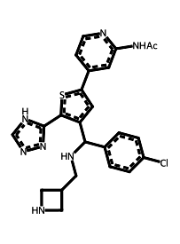 CC(=O)Nc1cc(-c2cc(C(NCC3CNC3)c3ccc(Cl)cc3)c(-c3nnc[nH]3)s2)ccn1